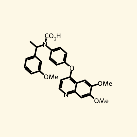 COc1cccc(C(C)N(C(=O)O)c2ccc(Oc3ccnc4cc(OC)c(OC)cc34)cc2)c1